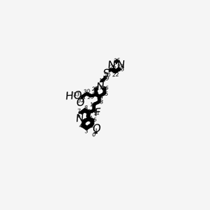 COc1ccc2nccc([C@@H](F)CCC3CCN(CCSc4ccncn4)CC3CCC(=O)O)c2c1